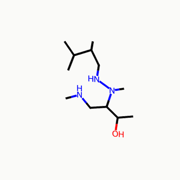 CNCC(C(C)O)N(C)NCC(C)C(C)C